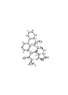 C=CC(=O)Oc1ccccc1/C(=C(/CC)c1ccccc1)c1ncc2[nH]ncc2n1